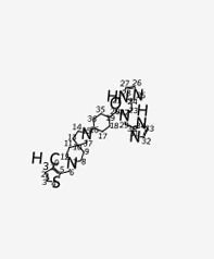 Cc1ccsc1CN1CCC2(CC1)CCN(C1CCC(C(=O)N(Cc3ncc[nH]3)Cc3ncc[nH]3)CC1)C2